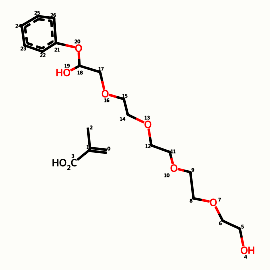 C=C(C)C(=O)O.OCCOCCOCCOCCOCC(O)Oc1ccccc1